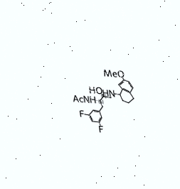 COc1ccc2c(c1)C(NC[C@@H](O)[C@H](Cc1cc(F)cc(F)c1)NC(C)=O)CCC2